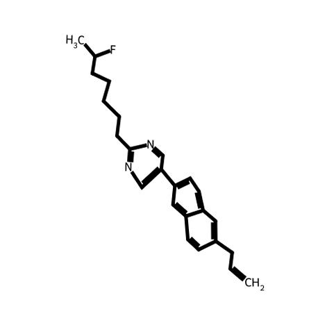 C=CCc1ccc2cc(-c3cnc(CCCCCC(C)F)nc3)ccc2c1